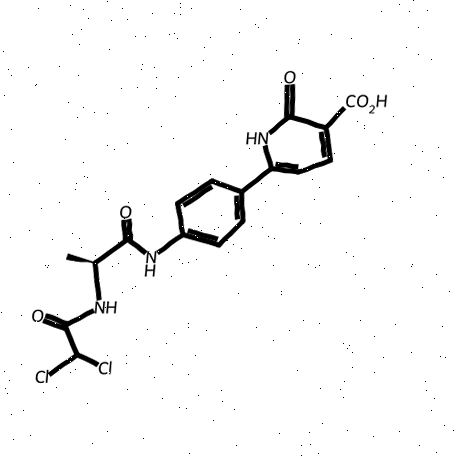 C[C@H](NC(=O)C(Cl)Cl)C(=O)Nc1ccc(-c2ccc(C(=O)O)c(=O)[nH]2)cc1